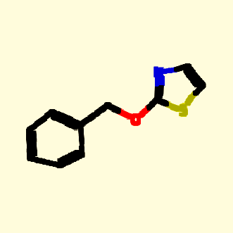 c1ccc(COc2nccs2)cc1